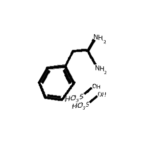 NC(N)Cc1ccccc1.O=S(=O)(O)O.O=S(=O)(O)O